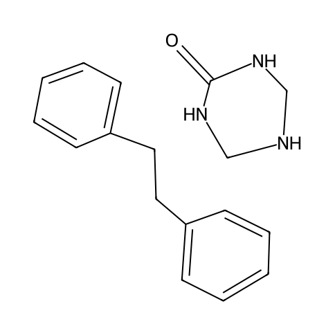 O=C1NCNCN1.c1ccc(CCc2ccccc2)cc1